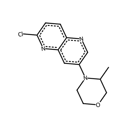 CC1COCCN1c1cnc2ccc(Cl)nc2c1